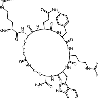 CC(=O)N[C@@H](CCCNC(=N)N)C(=O)N[C@H]1CCCC(=O)NCC[C@@H](C(N)=O)NC(=O)[C@H](Cc2c[nH]c3ccccc23)NC(=O)[C@H](CCCNC(=N)N)NC(=O)C(Cc2ccccc2)NC(=O)[C@H](CCC(N)=O)NC1=O